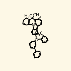 Cc1ccccc1N(c1cccc(-c2ccccc2)c1)c1ccc2c(c1)c1cccc3c1n2C1=C(CCC=C1)C3(C)C